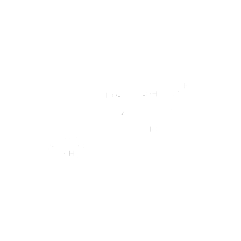 CC(C)OC(=O)CCCCCC[C@@H]1C(CCC(O)c2ccc3cccc(C(F)(F)F)c3c2F)[C@H](O)C[C@@H]1O